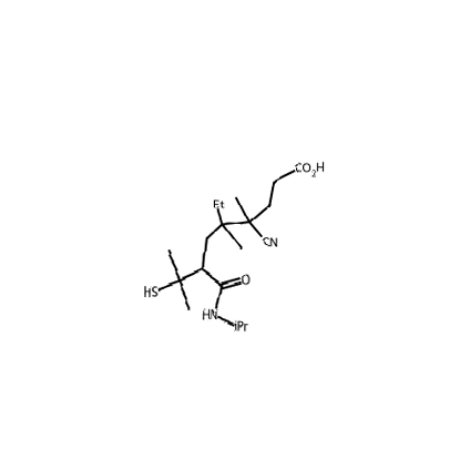 CCC(C)(CC(C(=O)NC(C)C)C(C)(C)S)C(C)(C#N)CCC(=O)O